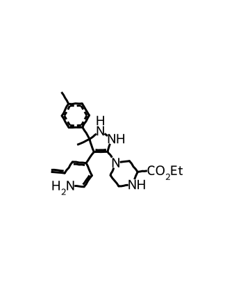 C=C/C=C(\C=C/N)C1=C(N2CCNC(C(=O)OCC)C2)NNC1(C)c1ccc(C)cc1